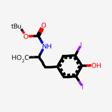 CC(C)(C)OC(=O)NC(Cc1cc(I)c(O)c(I)c1)C(=O)O